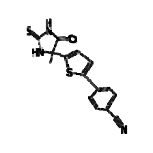 CC1(c2ccc(-c3ccc(C#N)cc3)s2)NC(=S)NC1=O